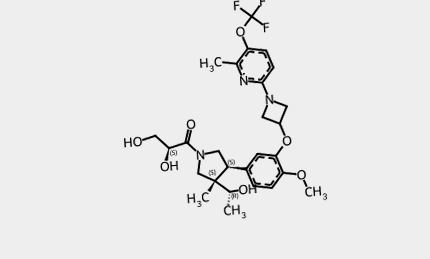 COc1ccc([C@@H]2CN(C(=O)[C@@H](O)CO)C[C@@]2(C)[C@@H](C)O)cc1OC1CN(c2ccc(OC(F)(F)F)c(C)n2)C1